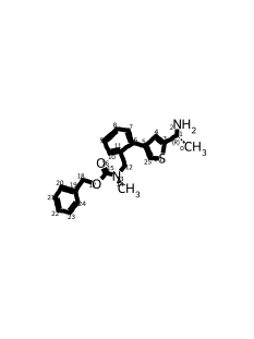 C[C@@H](N)c1cc(-c2ccccc2CN(C)C(=O)OCc2ccccc2)cs1